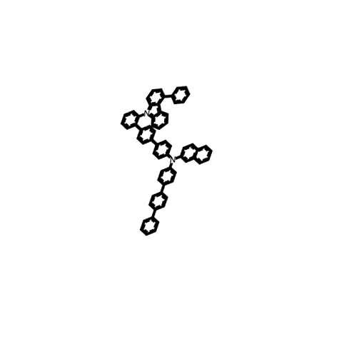 c1ccc(-c2ccc(-c3ccc(N(c4ccc(-c5ccc(-c6ccccc6-n6c7ccccc7c7c(-c8ccccc8)cccc76)cc5)cc4)c4ccc5ccccc5c4)cc3)cc2)cc1